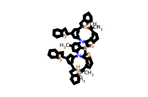 Cc1cc2c3c(c1)N1c4cc(cc(-c5cc6ccccc6s5)c4)C4=Cc5ccccc5[SH]4C(C)(C)c4ccc5sc(c1c5c4)B3c1sc3ccc4cc3c1N2c1cc(cc(-c2cc3ccccc3s2)c1)C1=Cc2ccccc2[SH]1C4(C)C